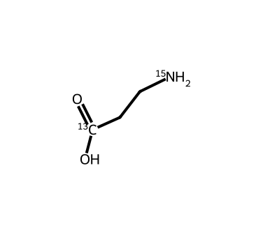 [15NH2]CC[13C](=O)O